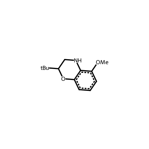 COc1cccc2c1NCC(C(C)(C)C)O2